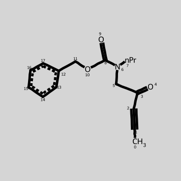 CC#CC(=O)CN(CCC)C(=O)OCc1ccccc1